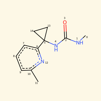 CNC(=O)NC1(c2cccc(C)n2)CC1